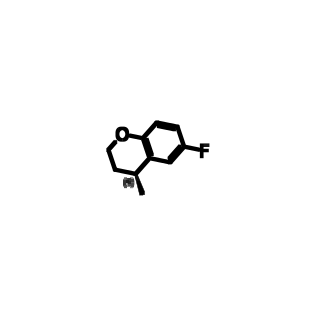 C[C@H]1CCOc2ccc(F)cc21